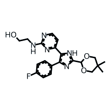 CC1(C)COC(c2nc(-c3ccc(F)cc3)c(-c3ccnc(NCCO)n3)[nH]2)OC1